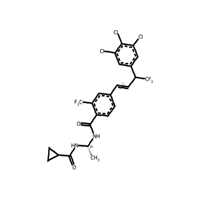 C[C@@H](NC(=O)c1ccc(/C=C/C(c2cc(Cl)c(Cl)c(Cl)c2)C(F)(F)F)cc1C(F)(F)F)NC(=O)C1CC1